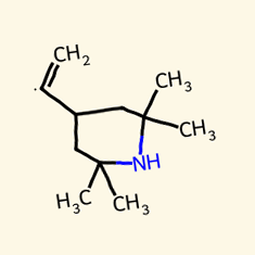 C=[C]C1CC(C)(C)NC(C)(C)C1